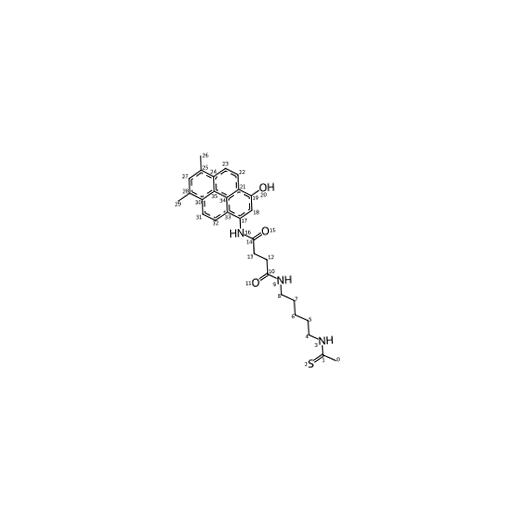 CC(=S)NCCCCCNC(=O)CCC(=O)Nc1cc(O)c2ccc3c(C)cc(C)c4ccc1c2c34